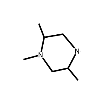 CC1CN(C)C(C)C[N]1